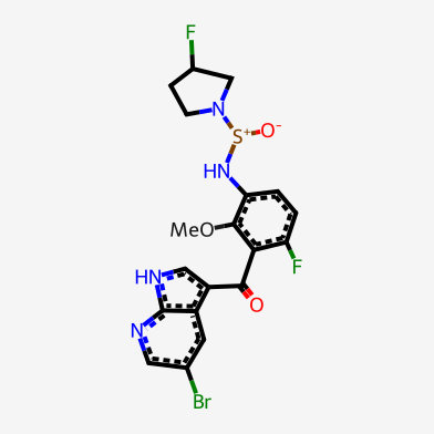 COc1c(N[S+]([O-])N2CCC(F)C2)ccc(F)c1C(=O)c1c[nH]c2ncc(Br)cc12